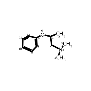 CC(CN(C)C)Oc1cc[c]cc1